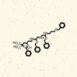 O=C(O)C(CC(CCNC(CNCC(NCCCOCc1ccccc1)OCc1ccccc1)OCc1ccccc1)OCc1ccccc1)(C(=O)O)C(=O)O